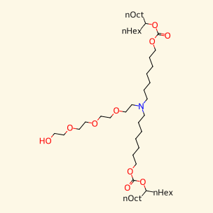 CCCCCCCCC(CCCCCC)OC(=O)OCCCCCCCN(CCCCCCCOC(=O)OC(CCCCCC)CCCCCCCC)CCOCCOCCOCCO